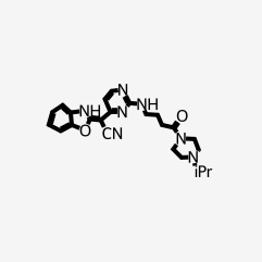 CC(C)N1CCN(C(=O)CCCNc2nccc(C(C#N)=C3Nc4ccccc4O3)n2)CC1